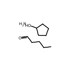 CCCCC=O.N.OC1CCCC1